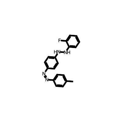 Cc1ccc(/N=N\c2ccc(NNc3ccccc3F)cc2)cc1